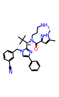 Cc1cc(C(=O)N(CCCN)[C@@H](c2nc(-c3ccccc3)cn2Cc2cccc(C#N)c2)C(C)(C)C)nn1C